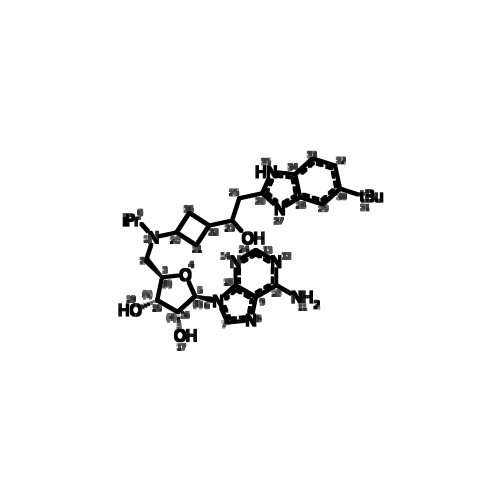 CC(C)N(C[C@H]1O[C@@H](n2cnc3c(N)ncnc32)[C@H](O)[C@@H]1O)C1CC(C(O)Cc2nc3cc(C(C)(C)C)ccc3[nH]2)C1